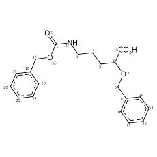 O=C(NCCCC(OCc1ccccc1)C(=O)O)OCc1ccccc1